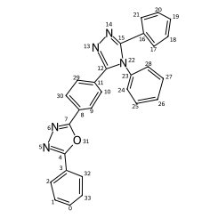 c1ccc(-c2nnc(-c3ccc(-c4nnc(-c5ccccc5)n4-c4ccccc4)cc3)o2)cc1